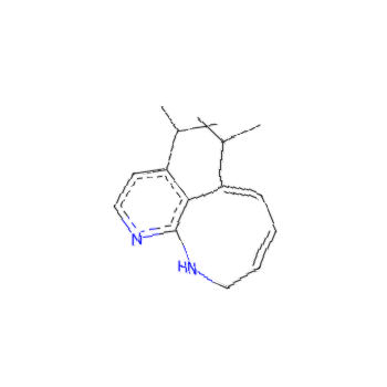 CC(C)/C1=C/C=C\CNc2nccc(C(C)C)c21